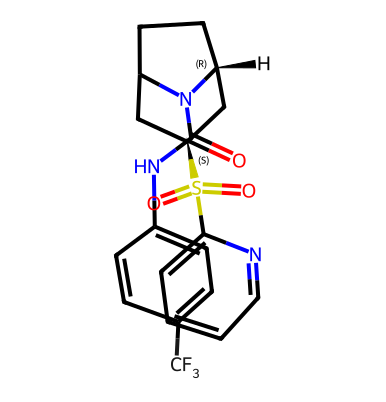 O=C(Nc1ccc(C(F)(F)F)cc1)N1C2CC[C@@H]1C[C@@H](S(=O)(=O)c1ccccn1)C2